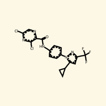 O=C(Nc1ccc(-n2nc(C(F)(F)F)cc2C2CC2)cc1)c1ncc(Cl)nc1Cl